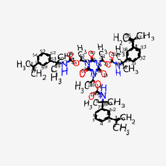 C=C(C)c1cccc(C(C)(C)NC(=O)OC(C)n2c(=O)n(C(C)OC(=O)NC(C)(C)c3cccc(C(=C)C)c3)c(=O)n(C(C)OC(=O)NC(C)(C)c3cccc(C(=C)C)c3)c2=O)c1